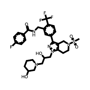 CS(=O)(=O)N1CCc2c(c(-c3ccc(C(F)(F)F)c(CNC(=O)c4ccc(F)cc4)c3)nn2CC(O)CN2CCCC(O)C2)C1